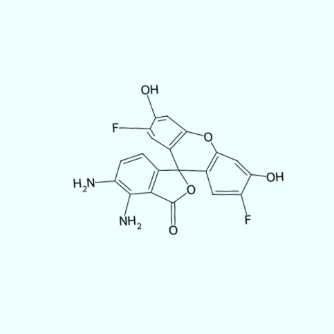 Nc1ccc2c(c1N)C(=O)OC21c2cc(F)c(O)cc2Oc2cc(O)c(F)cc21